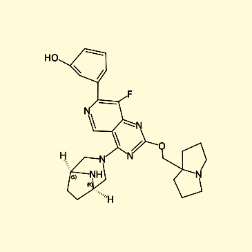 Oc1cccc(-c2ncc3c(N4C[C@H]5CC[C@@H](C4)N5)nc(OCC45CCCN4CCC5)nc3c2F)c1